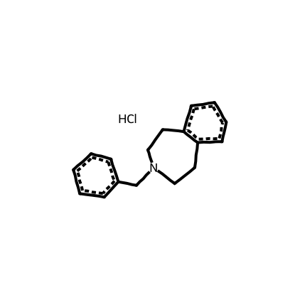 Cl.c1ccc(CN2CCc3ccccc3CC2)cc1